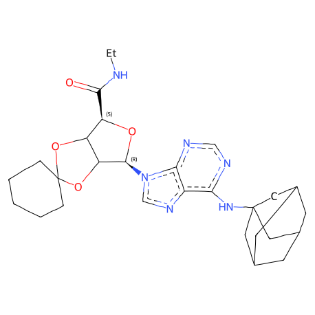 CCNC(=O)[C@H]1O[C@@H](n2cnc3c(NC45CC6CC(CC(C6)C4)C5)ncnc32)C2OC3(CCCCC3)OC21